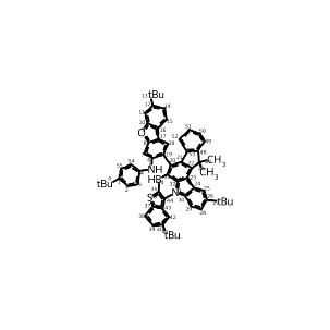 CC(C)(C)c1ccc(Nc2cc3oc4cc(C(C)(C)C)ccc4c3cc2-c2c3c(c4c5cc(C(C)(C)C)ccc5n5c4c2Bc2sc4ccc(C(C)(C)C)cc4c2-5)C(C)(C)c2ccccc2-3)cc1